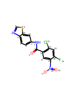 O=C(Nc1ccc2ncsc2c1)c1cc([N+](=O)[O-])c(F)cc1Cl